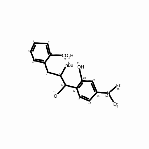 CCCCC(Cc1ccccc1C(=O)O)C(O)c1ccc(N(CC)CC)cc1O